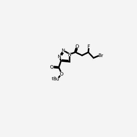 CC(C)(C)OC(=O)c1cn(C(=O)CC(F)CBr)nn1